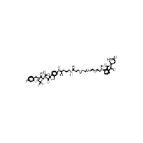 C[C@H](N(Cc1ccc(F)cc1)C(=O)CN1C(=O)O[C@@]2(CCc3cc(NC(=O)CCCNC(=O)CCOCCOCCOCCNc4cccc5c4C(=O)N(C4CCC(=O)NC4)C5=O)ccc32)C1=O)C(F)(F)F